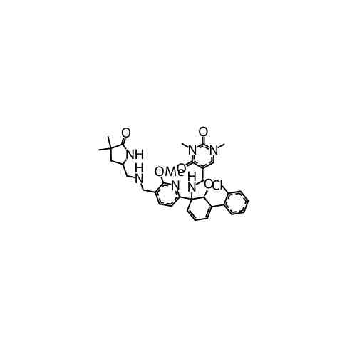 COc1nc(C2(NC(=O)c3cn(C)c(=O)n(C)c3=O)C=CC=C(c3ccccc3Cl)[C@@H]2C)ccc1CNCC1CC(C)(C)C(=O)N1